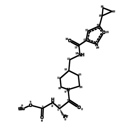 CC(C)[C@H](NC(=O)OC(C)(C)C)C(=O)N1CCC(CNC(=O)c2cc(C3CC3)on2)CC1